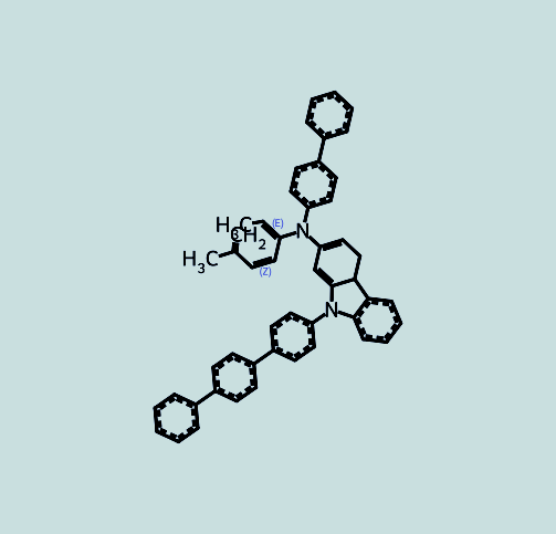 C=C(C)/C=C\C(=C/C)N(C1=CCC2C(=C1)N(c1ccc(-c3ccc(-c4ccccc4)cc3)cc1)c1ccccc12)c1ccc(-c2ccccc2)cc1